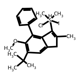 COc1c(C(C)(C)C)cc2c(c1-c1ccccc1)C([SH](C)(C)(Cl)I)=C(C)C2